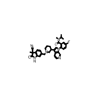 CC(C)N(C)C(=O)c1cc(F)ccc1-n1cc(C2CCCN(Cc3ccc4c(c3)NC(=O)C4(C)C#N)C2)c2ccncc21